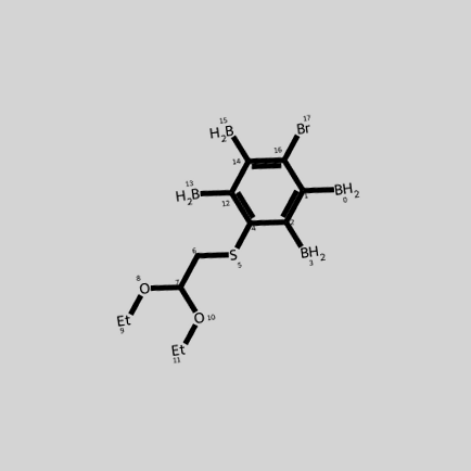 Bc1c(B)c(SCC(OCC)OCC)c(B)c(B)c1Br